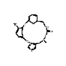 CN1CC(=O)NCC2C=CC=C(C2)OC2CC(=CC=C2C#N)Cn2cncc2C1